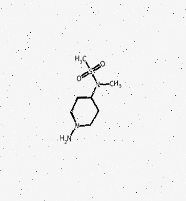 CN(C1CCN(N)CC1)S(C)(=O)=O